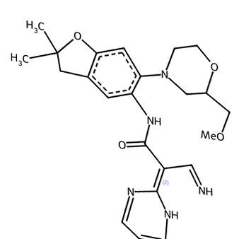 COCC1CN(c2cc3c(cc2NC(=O)/C(C=N)=C2\N=CC=CN2)CC(C)(C)O3)CCO1